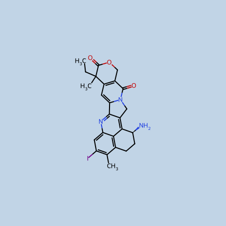 CCC1(C)C(=O)OCc2c1cc1n(c2=O)Cc2c-1nc1cc(I)c(C)c3c1c2[C@@H](N)CC3